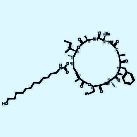 C/C=C(\C)[C@H]1OC(=O)[C@@H](C)NC(=O)[C@H]([C@H](C)CC)NC(=O)CN(C)C(=O)[C@@H](Cc2ccccc2)N(C)C(=O)[C@H](C)NC(=O)[C@@H](CC(C)C)OC(=O)/C(C)=C/C[C@H](OC(=O)NCCCCCCCCCCCCO)[C@@H]1C